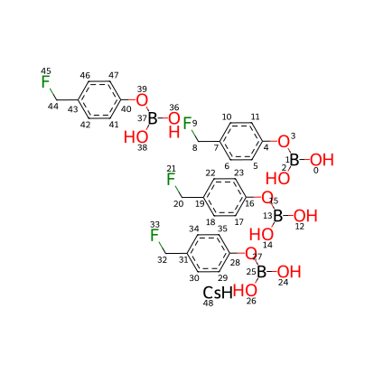 OB(O)Oc1ccc(CF)cc1.OB(O)Oc1ccc(CF)cc1.OB(O)Oc1ccc(CF)cc1.OB(O)Oc1ccc(CF)cc1.[CsH]